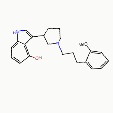 COc1ccccc1CCCN1CCCC(c2c[nH]c3cccc(O)c23)C1